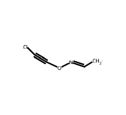 [CH2]C=NOC#CCl